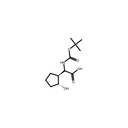 CC(C)(C)OC(=O)NC(C(=O)O)[C@@H]1CCC[C@H]1O